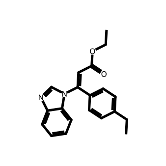 CCOC(=O)/C=C(\c1ccc(CC)cc1)n1cnc2ccccc21